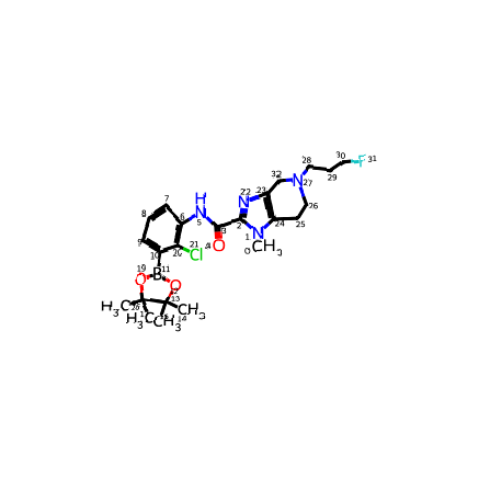 Cn1c(C(=O)Nc2cccc(B3OC(C)(C)C(C)(C)O3)c2Cl)nc2c1CCN(CCCF)C2